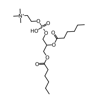 CCCCCC(=O)OCC(COP(=O)(O)OCC[N+](C)(C)C)OC(=O)CCCCC